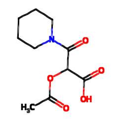 CC(=O)OC(C(=O)O)C(=O)N1CCCCC1